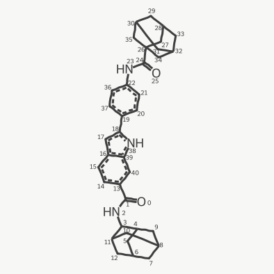 O=C(NC1C2CC3CC(C2)CC1C3)c1ccc2cc(-c3ccc(NC(=O)C45CC6CC(CC(C6)C4)C5)cc3)[nH]c2c1